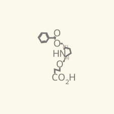 O=C(O)CCOC[C@@H]1CC[C@@H](COC(=O)c2ccccc2)N1